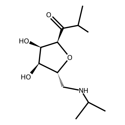 CC(C)NC[C@H]1O[C@H](C(=O)C(C)C)[C@H](O)[C@@H]1O